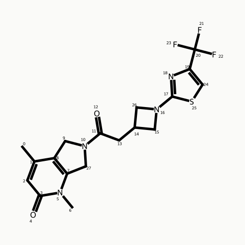 Cc1cc(=O)n(C)c2c1CN(C(=O)CC1CN(c3nc(C(F)(F)F)cs3)C1)C2